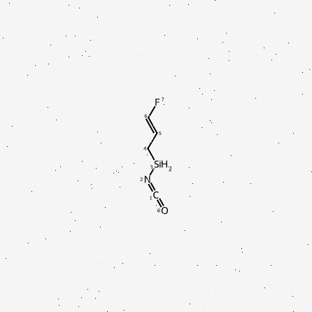 O=C=N[SiH2]CC=CF